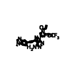 C=CC(=O)N1C[C@@H](n2nc(C#Cc3ccc4c(c3)ncn4C)c3c(N)ncnc32)C[C@@H]1COC(F)(F)F